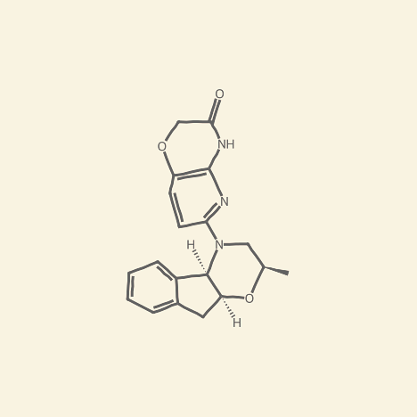 C[C@@H]1CN(c2ccc3c(n2)NC(=O)CO3)[C@@H]2c3ccccc3C[C@@H]2O1